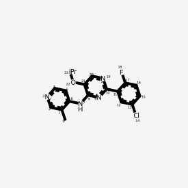 Cc1cnccc1Nc1nc(-c2cc(Cl)ccc2F)ncc1OC(C)C